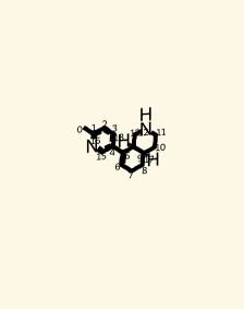 Cc1ccc(C2=CCC[C@H]3CCNC[C@@H]23)cn1